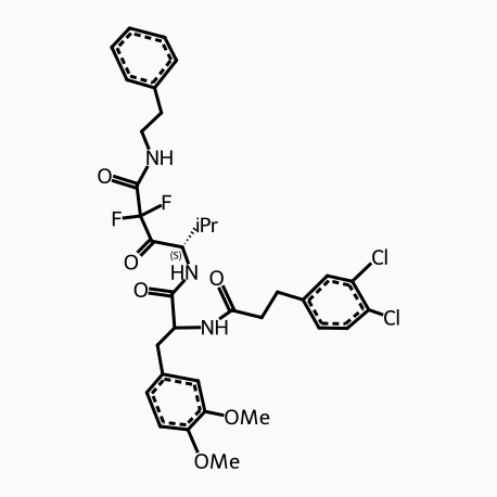 COc1ccc(CC(NC(=O)CCc2ccc(Cl)c(Cl)c2)C(=O)N[C@H](C(=O)C(F)(F)C(=O)NCCc2ccccc2)C(C)C)cc1OC